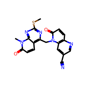 CSc1nc(Cn2c(=O)ccc3ncc(C#N)cc32)c2ccc(=O)n(C)c2n1